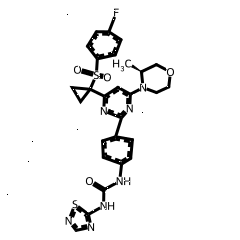 C[C@H]1COCCN1c1cc(C2(S(=O)(=O)c3ccc(F)cc3)CC2)nc(-c2ccc(NC(=O)Nc3ncns3)cc2)n1